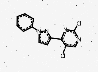 Clc1ncc(Cl)c(-c2ccn(-c3ccccc3)n2)n1